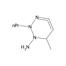 CCCN1N=C=CC(C)N1N